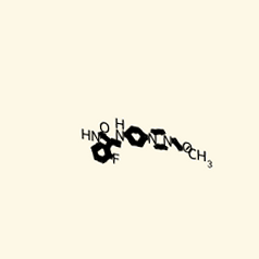 COCCN1CCN(c2ccc(NC=C3C(=O)Nc4cccc(F)c43)cc2)CC1